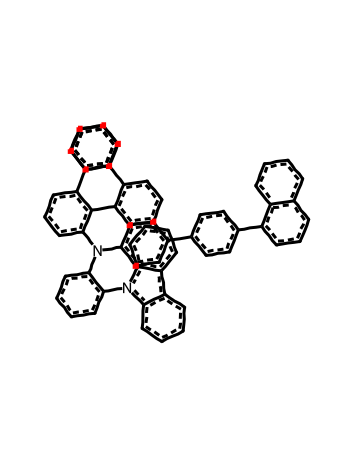 c1ccc(-c2ccccc2-c2c(-c3ccccc3)cccc2N(c2ccc(-c3ccc(-c4cccc5ccccc45)cc3)cc2)c2ccccc2-n2c3ccccc3c3ccccc32)cc1